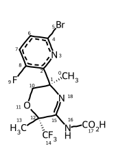 C[C@@]1(c2nc(Br)ccc2F)CO[C@@](C)(C(F)(F)F)C(NC(=O)O)=N1